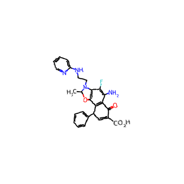 CC1Oc2c3c(c(N)c(F)c2N1CCNc1ccccn1)C(=O)C(C(=O)O)=CC3c1ccccc1